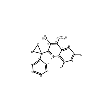 Cc1cc(C)c2nc(C3(c4ccccc4)CC3)c(O)c(C(=O)O)c2c1